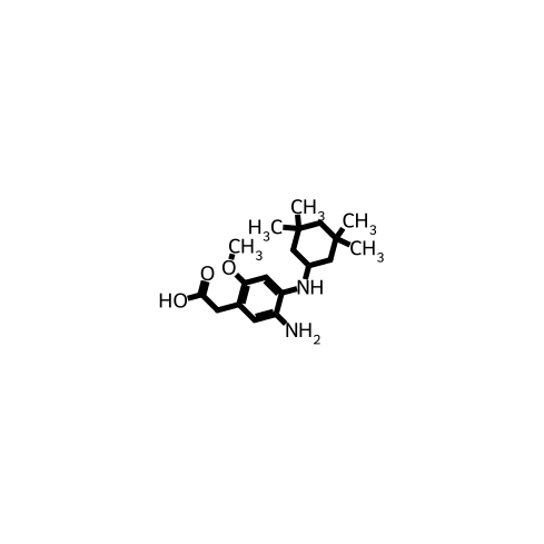 COc1cc(NC2CC(C)(C)CC(C)(C)C2)c(N)cc1CC(=O)O